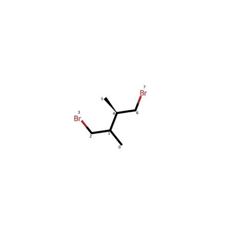 CC(CBr)[C@@H](C)CBr